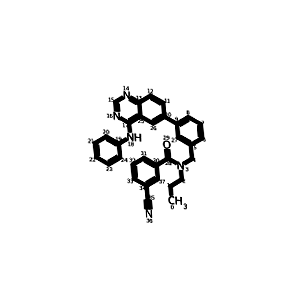 CCCN(Cc1cccc(-c2ccc3ncnc(Nc4ccccc4)c3c2)c1)C(=O)c1cccc(C#N)c1